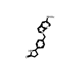 CC(=O)Nc1ccc2c(ccn2Cc2ccc(C3CCC(=O)N3)cc2)c1